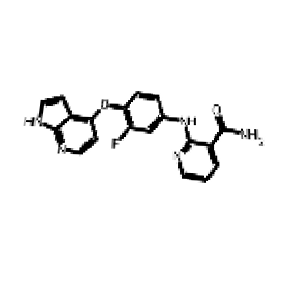 NC(=O)c1cccnc1Nc1ccc(Oc2ccnc3[nH]ccc23)c(F)c1